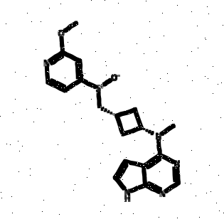 COc1cc([S+]([O-])C[C@H]2C[C@@H](N(C)c3ncnc4[nH]ccc34)C2)ccn1